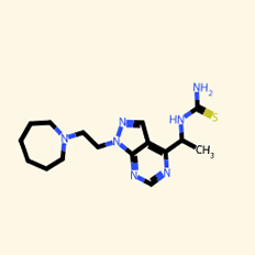 CC(NC(N)=S)c1ncnc2c1cnn2CCN1CCCCCC1